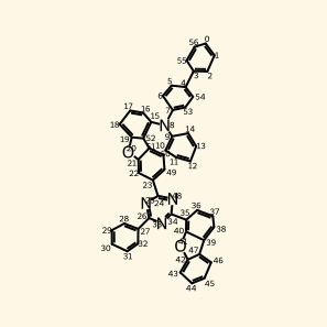 c1ccc(-c2ccc(N(c3ccccc3)c3cccc4oc5cc(-c6nc(-c7ccccc7)nc(-c7cccc8c7oc7ccccc78)n6)ccc5c34)cc2)cc1